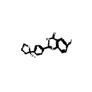 CC1(c2ccc(-c3nc4ccc(F)cc4c(=O)[nH]3)cc2)CCCO1